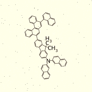 CC1(C)c2cc(-c3cc4cc(-c5cccc6ccccc56)c5ccccc5c4c4ccccc34)ccc2-c2ccc(N(c3ccc4ccccc4c3)c3ccc4ccccc4c3)cc21